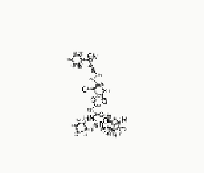 CC1(C)[C@@H]2C[C@H]3OB([C@H](Cc4ccccc4)NC(=O)CCOc4c(Cl)ccc(CCC#CC(C#N)c5ccccn5)c4Cl)O[C@@]3(C)[C@H]1C2